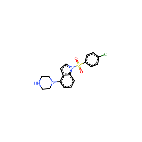 O=S(=O)(c1ccc(Cl)cc1)n1ccc2c(N3CCNCC3)cccc21